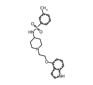 Cc1cccc(S(=O)(=O)NC2CCN(CCOc3cccc4[nH]ccc34)CC2)c1